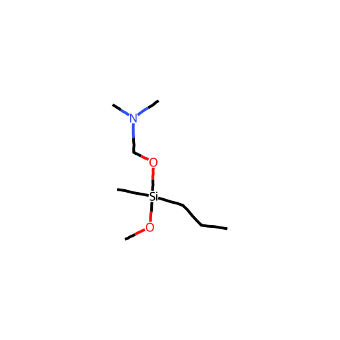 CCC[Si](C)(OC)OCN(C)C